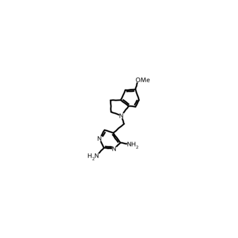 COc1ccc2c(c1)CCN2Cc1cnc(N)nc1N